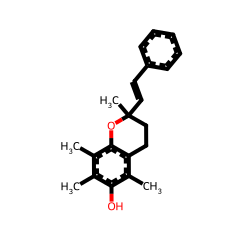 Cc1c(C)c2c(c(C)c1O)CCC(C)(/C=C/c1ccccc1)O2